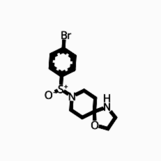 [O-][S+](c1ccc(Br)cc1)N1CCC2(CC1)NCCO2